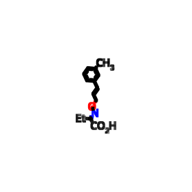 CCC(=NOC/C=C/c1cccc(C)c1)C(=O)O